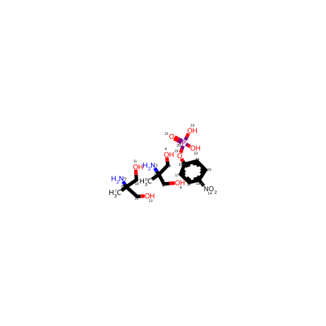 CC(N)(CO)CO.CC(N)(CO)CO.O=[N+]([O-])c1ccc(OP(=O)(O)O)cc1